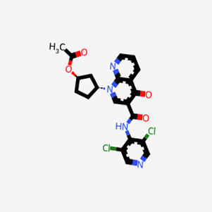 CC(=O)O[C@@H]1CC[C@@H](n2cc(C(=O)Nc3c(Cl)cncc3Cl)c(=O)c3cccnc32)C1